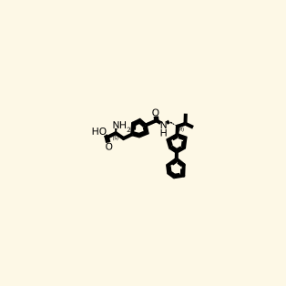 CC(C)[C@@H](CNC(=O)c1ccc(C[C@H](N)C(=O)O)cc1)c1ccc(-c2ccccc2)cc1